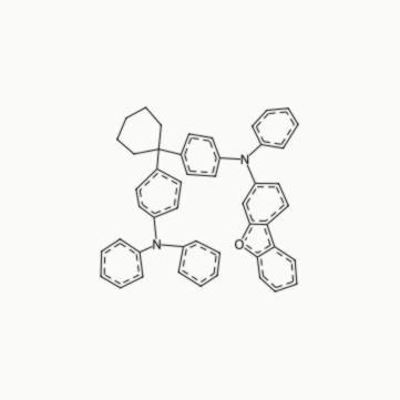 c1ccc(N(c2ccccc2)c2ccc(C3(c4ccc(N(c5ccccc5)c5ccc6c(c5)oc5ccccc56)cc4)CCCCC3)cc2)cc1